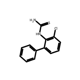 NC(=S)Nc1c(Cl)cccc1-c1ccccc1